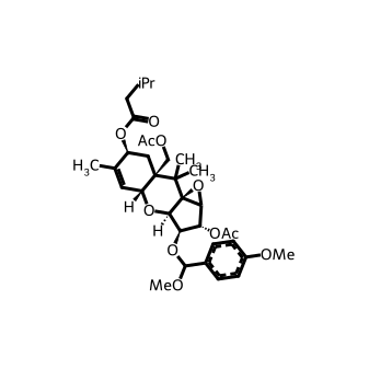 COc1ccc(C(OC)O[C@H]2[C@H]3O[C@@H]4C=C(C)[C@@H](OC(=O)CC(C)C)C[C@]4(COC(C)=O)C(C)(C)[C@@]34OC4[C@@H]2OC(C)=O)cc1